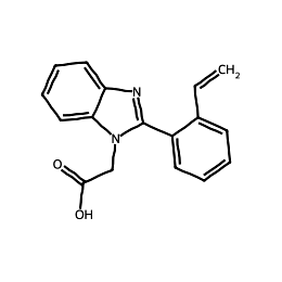 C=Cc1ccccc1-c1nc2ccccc2n1CC(=O)O